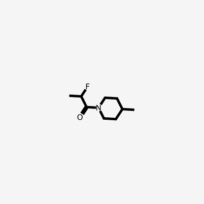 CC1CCN(C(=O)C(C)F)CC1